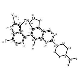 CN(C)C1CCN(c2ncc3c4c(c(-c5ncc(F)c6sc(N)c(C#N)c56)c(F)c3n2)COC4)CC1